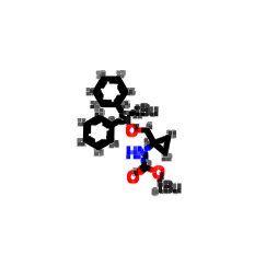 CC(C)(C)OC(=O)NC1(CO[Si](c2ccccc2)(c2ccccc2)C(C)(C)C)CC1